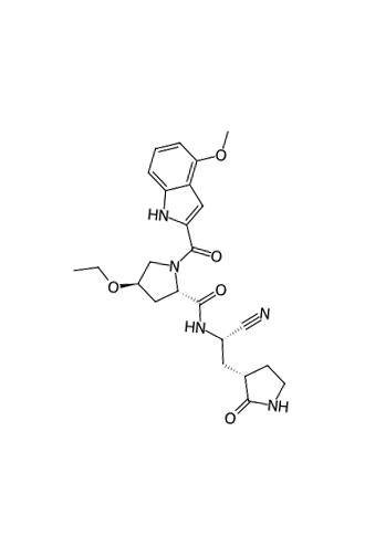 CCO[C@@H]1C[C@@H](C(=O)N[C@H](C#N)C[C@@H]2CCNC2=O)N(C(=O)c2cc3c(OC)cccc3[nH]2)C1